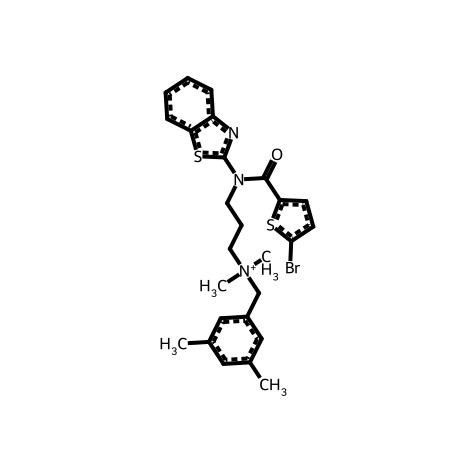 Cc1cc(C)cc(C[N+](C)(C)CCCN(C(=O)c2ccc(Br)s2)c2nc3ccccc3s2)c1